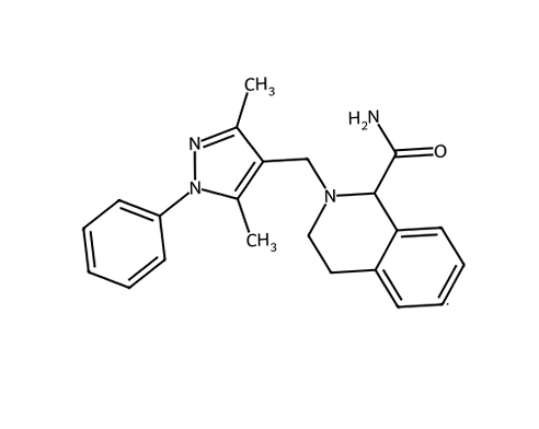 Cc1nn(-c2ccccc2)c(C)c1CN1CCc2c[c]ccc2C1C(N)=O